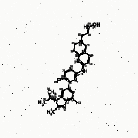 Cc1nc2c(F)cc(-c3nc(Nc4ccc5c(n4)CCN(CCNO)C5)ncc3F)cc2n1C(C)C